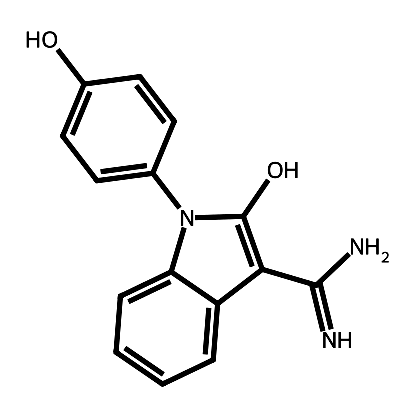 N=C(N)c1c(O)n(-c2ccc(O)cc2)c2ccccc12